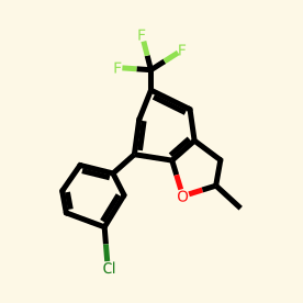 CC1Cc2cc(C(F)(F)F)cc(-c3cccc(Cl)c3)c2O1